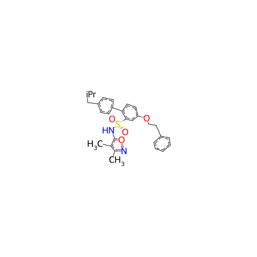 Cc1noc(NS(=O)(=O)c2cc(OCCc3ccccc3)ccc2-c2ccc(CC(C)C)cc2)c1C